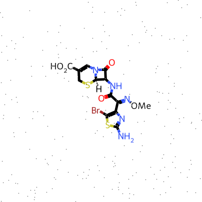 CON=C(C(=O)NC1C(=O)N2C=C(C(=O)O)CS[C@H]12)c1nc(N)sc1Br